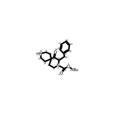 CC(C)(C)OC(=O)N1CCC2(CCNCC2)C(=O)C1Cc1ccccc1